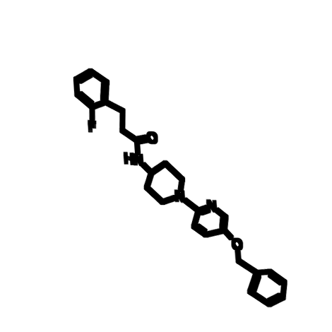 O=C(CCc1ccccc1F)NC1CCN(c2ccc(OCc3ccccc3)cn2)CC1